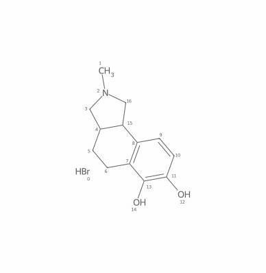 Br.CN1CC2CCc3c(ccc(O)c3O)C2C1